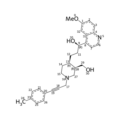 COc1ccc2nccc([C@H](O)CC[C@@H]3CCN(CC#Cc4ccc(C)cc4)C[C@@H]3CO)c2c1